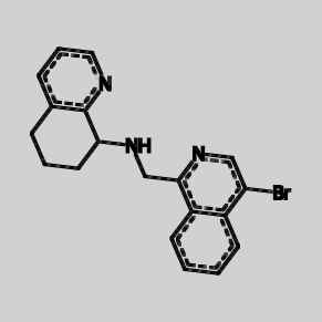 Brc1cnc(CNC2CCCc3cccnc32)c2ccccc12